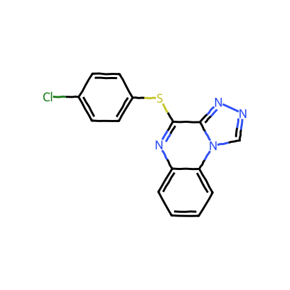 Clc1ccc(Sc2nc3ccccc3n3cnnc23)cc1